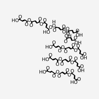 O=C(O)/C=C/C(=O)O.O=C(O)/C=C/C(=O)O.O=C(O)/C=C/C(=O)O.O=C(O)/C=C/C(=O)OC(=O)/C=C/C(=O)OC(=O)/C=C/C(=O)O.O=C(O)/C=C/C(=O)OC(=O)/C=C/C(=O)OC(=O)/C=C/C(=O)O.O=C(O)/C=C/C(=O)OC(=O)/C=C/C(=O)OC(=O)/C=C/C(=O)O.O=C(O)/C=C/C(=O)OC(=O)/C=C/C(=O)OC(=O)/C=C/C(=O)O